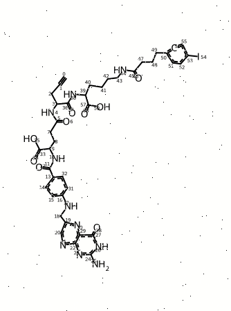 C#CCC(NC(=O)CCC(NC(=O)c1ccc(NCc2cnc3nc(N)[nH]c(=O)c3n2)cc1)C(=O)O)C(=O)NC(CCCCNC(=O)CCCc1ccc(I)cc1)C(=O)O